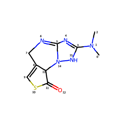 CN(C)C1=NC2=NCC3=CSC(=O)C3N2N1